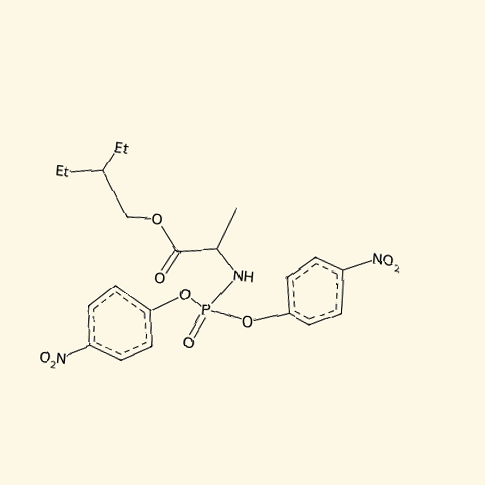 CCC(CC)COC(=O)C(C)NP(=O)(Oc1ccc([N+](=O)[O-])cc1)Oc1ccc([N+](=O)[O-])cc1